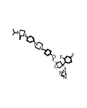 C=C1N(c2ccc(N3CCN(c4ccc(OC[C@@H]5C[C@@](Cn6cncn6)(c6ccc(F)cc6F)CO5)cc4)CC3)cc2)CCN1C(C)C